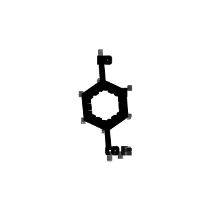 CCOC(=O)c1ccc(N=O)nc1